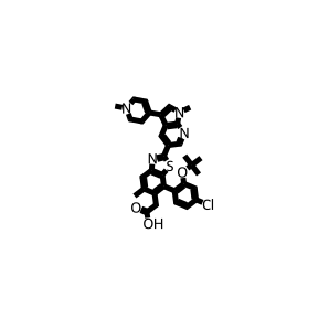 Cc1cc2nc(-c3cnc4c(c3)c(C3=CCN(C)CC3)cn4C)sc2c(-c2ccc(Cl)cc2OC(C)(C)C)c1CC(=O)O